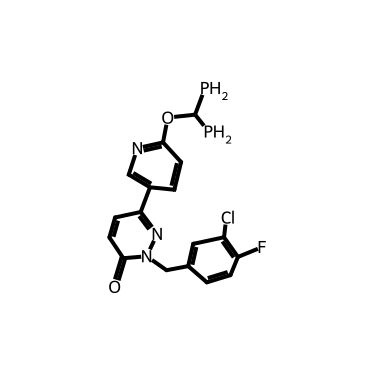 O=c1ccc(-c2ccc(OC(P)P)nc2)nn1Cc1ccc(F)c(Cl)c1